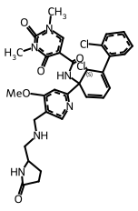 COc1cc(C2(NC(=O)c3cn(C)c(=O)n(C)c3=O)C=CC=C(c3ccccc3Cl)[C@@H]2Cl)ncc1CNCC1CCC(=O)N1